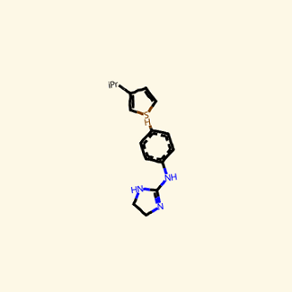 CC(C)C1=C[SH](c2ccc(NC3=NCCN3)cc2)C=C1